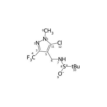 Cn1nc(C(F)(F)F)c(CN[S+]([O-])C(C)(C)C)c1Cl